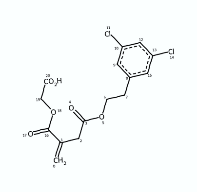 C=C(CC(=O)OCCc1cc(Cl)cc(Cl)c1)C(=O)OCC(=O)O